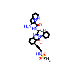 C[C@H](NC(=O)c1c(N)cc2cccnn12)c1nc2cccc(C#CCNS(C)(=O)=O)c2c(=O)n1-c1ccccc1